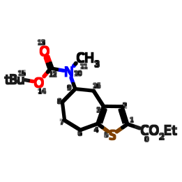 CCOC(=O)c1cc2c(s1)CCCC(N(C)C(=O)OC(C)(C)C)C2